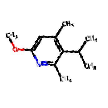 COc1cc(C)c(C(C)C)c(C)n1